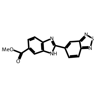 COC(=O)c1ccc2nc(-c3ccc4nsnc4c3)[nH]c2c1